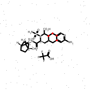 CC1(C)[C@@H]2CC[C@@]1(C)[C@@H](NC(=O)[C@H](CC1CCCCC1)N(C(CCc1ccc(N)nc1)C(=O)O)S(N)(=O)=O)C2.O=C(O)C(F)(F)F